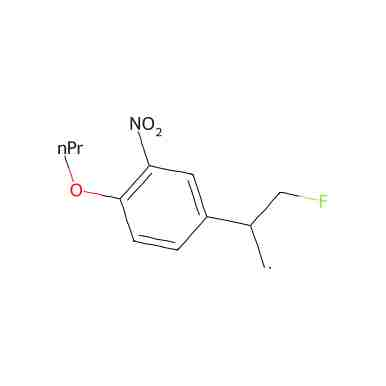 [CH2]C(CF)c1ccc(OCCC)c([N+](=O)[O-])c1